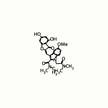 COc1ccc2c(c1)c(C=C1Oc3cc(O)cc(O)c3C1=O)c(C(=O)N(C)C)n2CC(=O)N(C)C